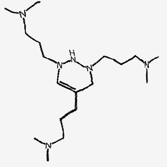 CN(C)CCCC1=CN(CCCN(C)C)NN(CCCN(C)C)C1